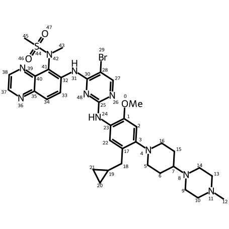 COc1cc(N2CCC(N3CCN(C)CC3)CC2)c(CC2CC2)cc1Nc1ncc(Br)c(Nc2ccc3nccnc3c2N(C)S(C)(=O)=O)n1